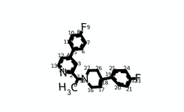 CC(c1cc(-c2ccc(F)cc2)ccn1)N1CC=C(c2ccc(F)cc2)CC1